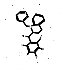 OC(c1c(F)c(F)c(F)c(F)c1F)C1CCc2ccccc2N1Cc1ccccc1